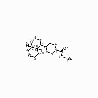 CC(C)(C)OC(=O)N1CCC(N2CCO[C@H]3COCC[C@H]32)CC1